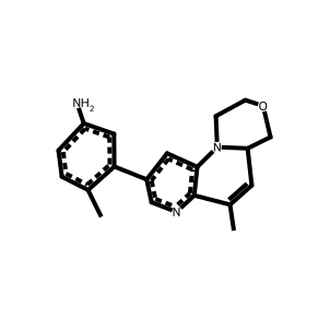 CC1=CC2COCCN2c2cc(-c3cc(N)ccc3C)cnc21